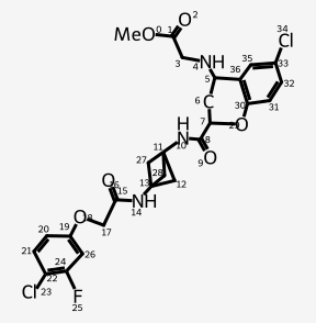 COC(=O)CNC1CC(C(=O)NC23CC(NC(=O)COc4ccc(Cl)c(F)c4)(C2)C3)Oc2ccc(Cl)cc21